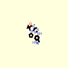 CN1C(=O)C2(CC2)CN(C2CCCC2)c2nc(Nc3ccc4[nH]ncc4c3)ncc21